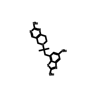 CC(C)(C)c1cc(CC(C)(C)N2CCc3nc(C(C)(C)C)ncc3C2)c2sc(C(C)(C)C)nc2c1